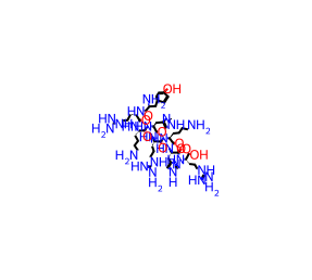 N=C(N)NCCC[C@H](NC(=O)[C@H](Cc1c[nH]cn1)NC(=O)[C@H](CCCCN)NC(=O)[C@H](CCCNC(=N)N)NC(=O)[C@H](Cc1c[nH]cn1)NC(=O)[C@H](CCCCN)NC(=O)[C@H](CCCNC(=N)N)NC(=O)[C@@H](N)Cc1ccc(O)cc1)C(=O)O